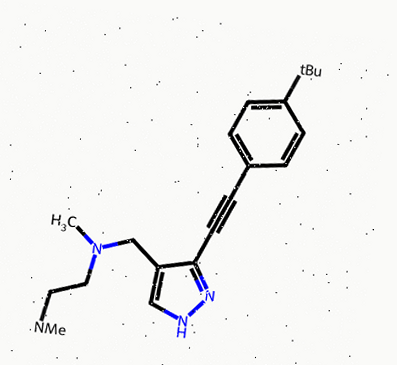 CNCCN(C)Cc1c[nH]nc1C#Cc1ccc(C(C)(C)C)cc1